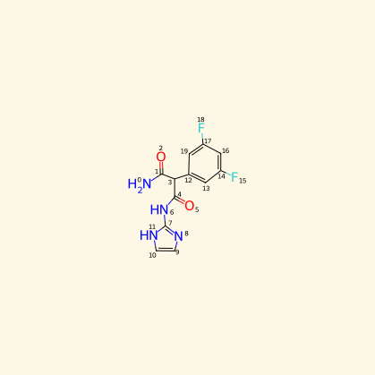 NC(=O)C(C(=O)Nc1ncc[nH]1)c1cc(F)cc(F)c1